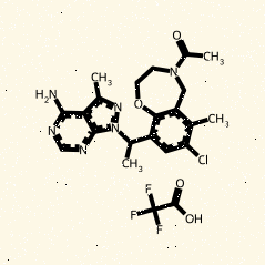 CC(=O)N1CCOc2c(C(C)n3nc(C)c4c(N)ncnc43)cc(Cl)c(C)c2C1.O=C(O)C(F)(F)F